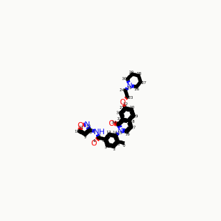 Cc1ccc(C(=O)Nc2ccon2)cc1-n1ccc2ccc(OCCN3CCCCC3)cc2c1=O